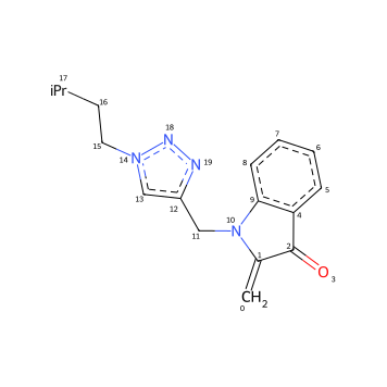 C=C1C(=O)c2ccccc2N1Cc1cn(CCC(C)C)nn1